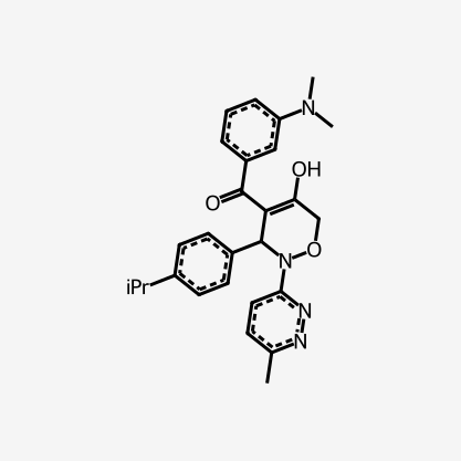 Cc1ccc(N2OCC(O)=C(C(=O)c3cccc(N(C)C)c3)C2c2ccc(C(C)C)cc2)nn1